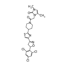 Cc1cn(C)c(=O)n1CC(=O)N1CCC(c2nc(C3=NOC(c4c(Cl)cc(Cl)cc4Cl)C3)cs2)CC1